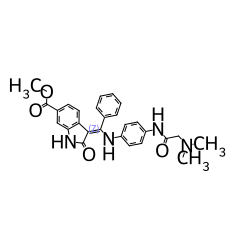 COC(=O)c1ccc2c(c1)NC(=O)/C2=C(\Nc1ccc(NC(=O)CN(C)C)cc1)c1ccccc1